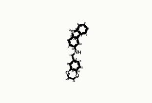 c1ccc2c(c1)sc1ccc(NCc3ccc4c(c3)OCCO4)cc12